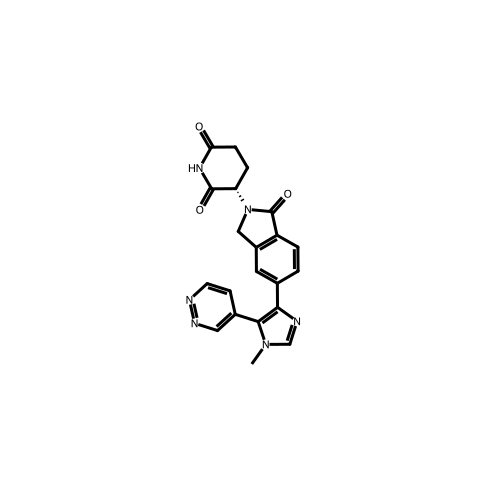 Cn1cnc(-c2ccc3c(c2)CN([C@H]2CCC(=O)NC2=O)C3=O)c1-c1ccnnc1